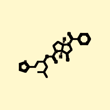 CC(C)CC(CCc1cccs1)OC(=O)N1CC[C@@H]2[C@H]1C(=O)CN2C(=O)c1ccccc1